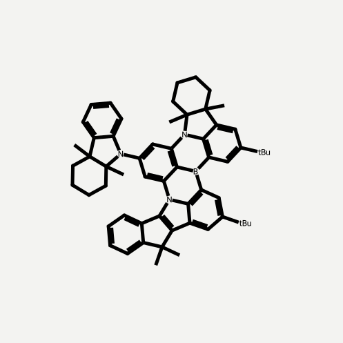 CC(C)(C)c1cc2c3c(c1)C1(C)CCCCC1(C)N3c1cc(N3c4ccccc4C4(C)CCCCC34C)cc3c1B2c1cc(C(C)(C)C)cc2c4c(n-3c12)-c1ccccc1C4(C)C